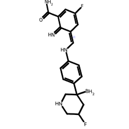 BC1(c2ccc(N/C=C3/C=C(F)C=C(C(N)=O)C3=N)cc2)CNCC(F)C1